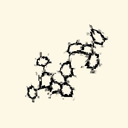 c1ccc(-c2nc(-c3ccccc3)c3oc4cccc(-c5ccc(-c6cccc7c6c6ccccc6n7-c6ccccc6)cc5)c4c3n2)cc1